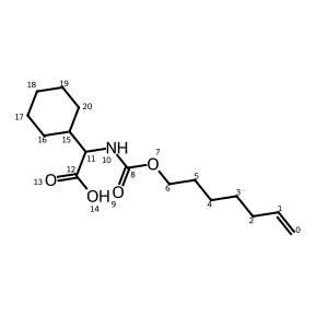 C=CCCCCCOC(=O)NC(C(=O)O)C1CCCCC1